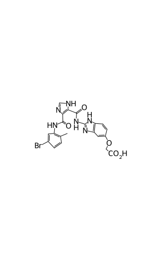 Cc1ccc(Br)cc1NC(=O)c1nc[nH]c1C(=O)Nc1nc2cc(OCC(=O)O)ccc2[nH]1